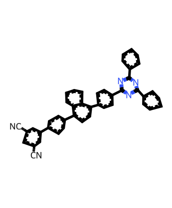 N#Cc1cc(C#N)cc(-c2ccc(-c3ccc(-c4ccc(-c5nc(-c6ccccc6)nc(-c6ccccc6)n5)cc4)c4ccccc34)cc2)c1